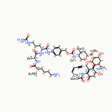 C/C=C\C#C[C@H](O[C@@H]1O[C@H](C)C[C@H](O)[C@H]1O[C@H]1C[C@H](OC)[C@@H](N(CC)C(=O)OCc2ccc(NC(=O)[C@H](CCCNC(N)=O)NC(=O)[C@@H](NC(=O)[C@H](CCCCN)NC(C)=O)C(C)C)cc2)CO1)C1=C(NC(=O)OC)C(=O)C[C@](N)(O)/C1=C/CSSC(C)(C)C